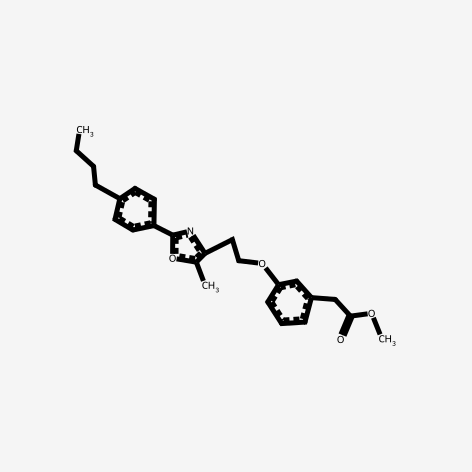 CCCCc1ccc(-c2nc(CCOc3cccc(CC(=O)OC)c3)c(C)o2)cc1